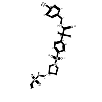 C=CS(=O)(=O)NC[C@H]1CCN(S(=O)(=O)c2ccc(C(C)(C)C(=O)NCc3ccc(C(F)(F)F)cc3)cc2)C1